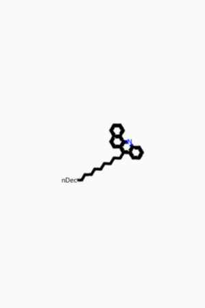 CCCCCCCCCCCCCCCCCCCc1c2ccccc2nc2c1ccc1ccccc12